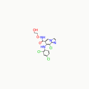 O=C(NOCCO)c1cn2ccnc2c(Cl)c1Nc1ccc(Cl)cc1Cl